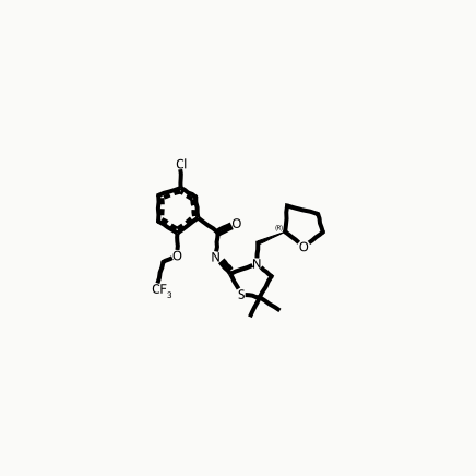 CC1(C)CN(C[C@H]2CCCO2)C(=NC(=O)c2cc(Cl)ccc2OCC(F)(F)F)S1